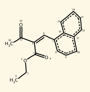 CCOC(=O)C(=Cc1cccc2ccccc12)C(C)=O